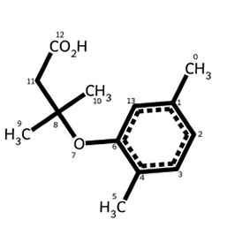 Cc1ccc(C)c(OC(C)(C)CC(=O)O)c1